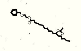 CCCCCCC(CC=CCCCCCCCC(=O)OCCOCc1ccccc1)OC(C)=O